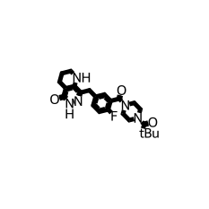 CC(C)(C)C(=O)N1CCN(C(=O)c2cc(Cc3n[nH]c(=O)c4c3NCCC4)ccc2F)CC1